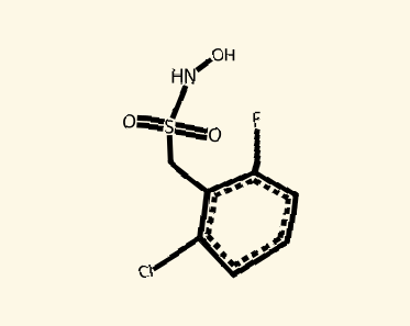 O=S(=O)(Cc1c(F)cccc1Cl)NO